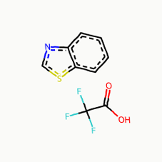 O=C(O)C(F)(F)F.c1ccc2scnc2c1